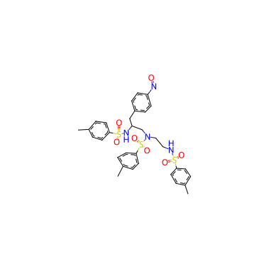 Cc1ccc(S(=O)(=O)NCCN(CC(Cc2ccc(N=O)cc2)NS(=O)(=O)c2ccc(C)cc2)S(=O)(=O)c2ccc(C)cc2)cc1